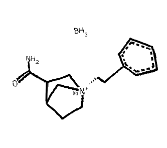 B.NC(=O)C1C[N@@+]2(CCc3ccccc3)CCC1C2